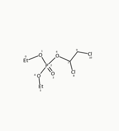 CCOP(=O)(OCC)OC(Cl)CCl